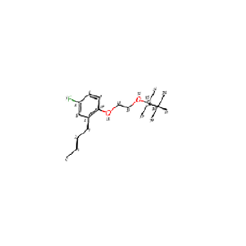 CCCCc1cc(F)ccc1OCCO[Si](C)(C)C(C)(C)C